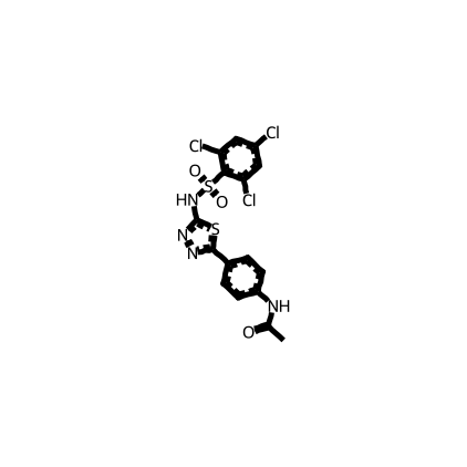 CC(=O)Nc1ccc(-c2nnc(NS(=O)(=O)c3c(Cl)cc(Cl)cc3Cl)s2)cc1